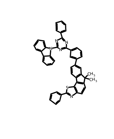 CC1(C)c2cc(-c3cccc(-c4nc(-c5ccccc5)nc(-n5c6ccccc6c6ccccc65)n4)c3)ccc2-c2c1ccc1nc(-c3ccccc3)sc21